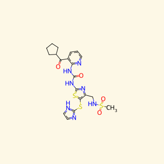 CS(=O)(=O)NCc1nc(NC(=O)Nc2ncccc2C(=O)C2CCCC2)sc1Sc1ncc[nH]1